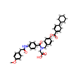 COc1ccc(CC(=O)Nc2ccc(C(=O)N(CC(=O)O)Cc3ccc(OC(=O)C4=CCC(C5CCCCC5)C=C4)cc3)cc2)cc1